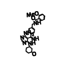 COc1ccccc1C(=O)NCc1ccc(C(=N)c2c(N)ncnc2NC2CCCC(=O)C2)cc1